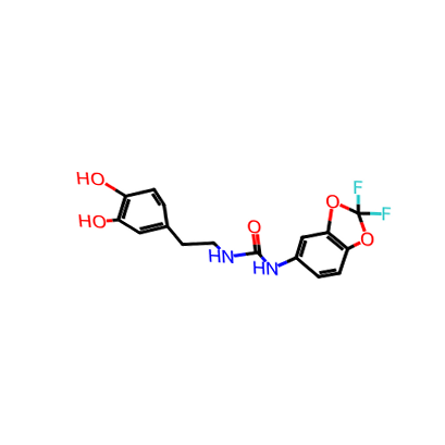 O=C(NCCc1ccc(O)c(O)c1)Nc1ccc2c(c1)OC(F)(F)O2